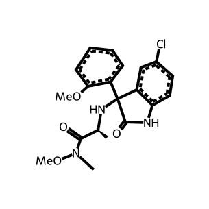 COc1ccccc1C1(N[C@@H](C)C(=O)N(C)OC)C(=O)Nc2ccc(Cl)cc21